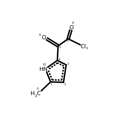 Cc1ccc(C(=O)C(=O)Cl)[nH]1